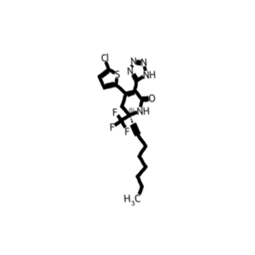 CCCCCCC#C[C@]1(C(F)(F)F)CC(c2ccc(Cl)s2)=C(c2nnn[nH]2)C(=O)N1